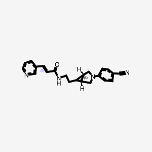 N#Cc1ccc(N2C[C@@H]3C(CCNC(=O)/C=C/c4cccnc4)[C@@H]3C2)cc1